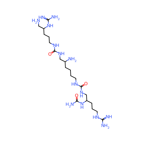 N=C(N)NCCCC(CNC(=O)NCCCCC(N)CNC(=O)NCCCC(CN)NC(=N)N)NC(N)=O